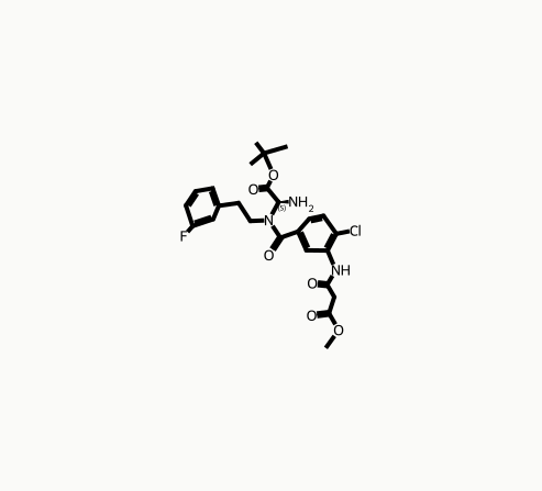 COC(=O)CC(=O)Nc1cc(C(=O)N(CCc2cccc(F)c2)[C@H](N)C(=O)OC(C)(C)C)ccc1Cl